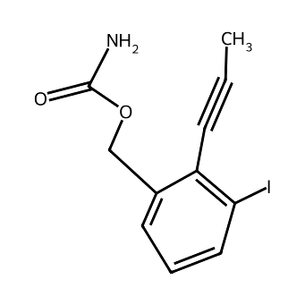 CC#Cc1c(I)cccc1COC(N)=O